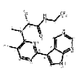 CC(C)[C@H](C(=O)NCC(F)(F)F)N(C)c1nc(-c2c[nH]c3ncncc23)ncc1F